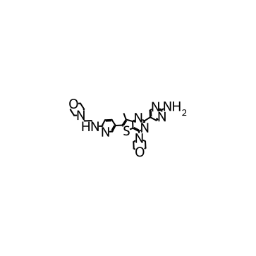 Cc1c(-c2ccc(NCCN3CCOCC3)nc2)sc2c(N3CCOCC3)nc(-c3cnc(N)nc3)nc12